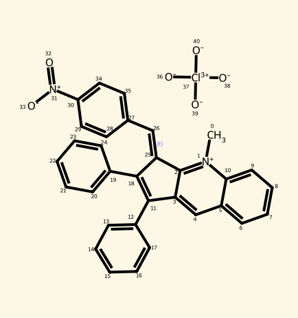 C[n+]1c2c(cc3ccccc31)C(c1ccccc1)=C(c1ccccc1)/C2=C\c1ccc([N+](=O)[O-])cc1.[O-][Cl+3]([O-])([O-])[O-]